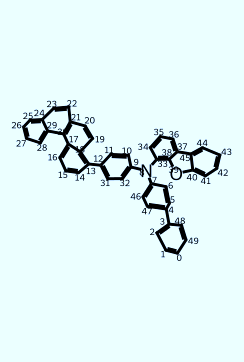 c1ccc(-c2ccc(N(c3ccc(-c4cccc5c4ccc4ccc6ccccc6c45)cc3)c3cccc4c3oc3ccccc34)cc2)cc1